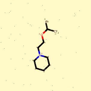 CC(C)C(OCCN1CCCCC1)C(F)(F)F